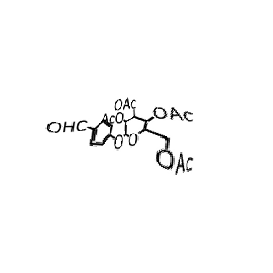 CC(=O)OCC1O[C@@H](Oc2ccc(C=O)cc2)C(OC(C)=O)C(OC(C)=O)C1OC(C)=O